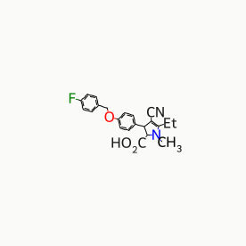 CCC1=C(C#N)C(c2ccc(OCc3ccc(F)cc3)cc2)C(C(=O)O)N1C